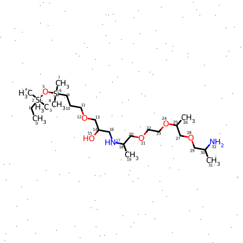 CC[Si](C)(C)O[Si](C)(C)CCCOCC(O)CNC(C)COCCOC(C)COCC(C)N